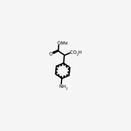 COC(=O)C(C(=O)O)c1ccc(N)cc1